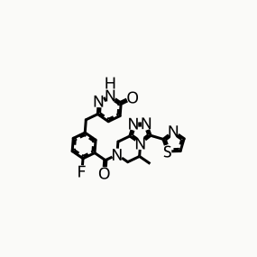 CC1CN(C(=O)c2cc(Cc3ccc(=O)[nH]n3)ccc2F)Cc2nnc(-c3nccs3)n21